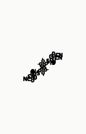 Cc1ccc(C2(c3ccc(C)cc3)c3cc4sc(-c5ccc(/C=C6\C(=O)c7ccccc7C6=C(C#N)C#N)c6nsnc56)cc4cc3-c3sc4c5c(sc4c32)-c2cc3cc(-c4ccc(/C=C6\C(=O)c7ccccc7C6=C(C#N)C#N)c6nsnc46)sc3cc2C5(c2ccc(C)cc2)c2ccc(C)cc2)cc1